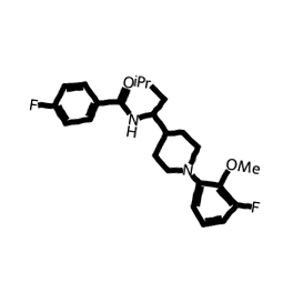 COc1c(F)cccc1N1CCC(C(CC(C)C)NC(=O)c2ccc(F)cc2)CC1